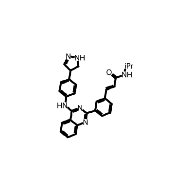 CC(C)NC(=O)/C=C/c1cccc(-c2nc(Nc3ccc(C4C=NNC4)cc3)c3ccccc3n2)c1